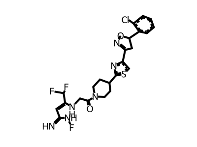 N=C(/C=C(\NCC(=O)N1CCC(c2nc(C3=NOC(c4ccccc4Cl)C3)cs2)CC1)C(F)F)NF